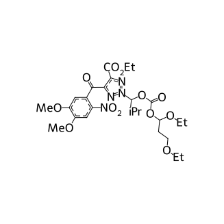 CCOCCC(OCC)OC(=O)OC(C(C)C)n1nc(C(=O)OCC)c(C(=O)c2cc(OC)c(OC)cc2[N+](=O)[O-])n1